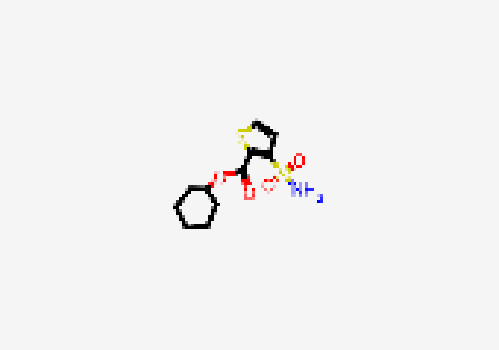 NS(=O)(=O)c1ccsc1C(=O)OC1CCCCC1